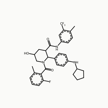 Cc1ccc(NC(=O)C2CC(O)CN(C(=O)c3c(C)cccc3F)C2c2ccc(NC3CCCC3)cc2)cc1C(F)(F)F